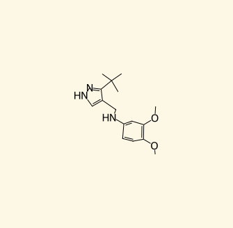 COc1ccc(NCc2c[nH]nc2C(C)(C)C)cc1OC